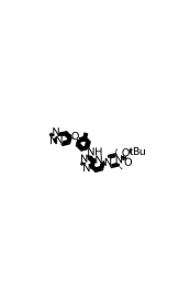 Cc1cc(Nc2ncnc3ccc(N4C[C@@H](C)N(C(=O)OC(C)(C)C)[C@@H](C)C4)nc23)ccc1Oc1ccn2ncnc2c1